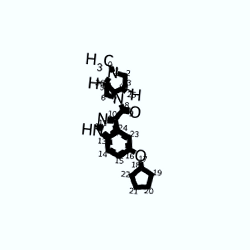 CN1C[C@@H]2C[C@H]1CN2C(=O)c1n[nH]c2ccc(OC3CCCC3)cc12